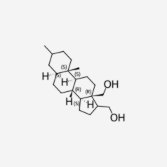 CC1CC[C@@]2(C)[C@@H](CC[C@H]3[C@@H]4CCC(CO)[C@@]4(CO)CC[C@@H]32)C1